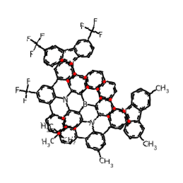 Cc1cc(-c2ccccc2)c(N2c3cc(-n4c5ccc(C)cc5c5cc(C)ccc54)cc(-c4ccccc4)c3B3c4c(-c5ccccc5)cc(-n5c6ccc(C(F)(F)F)cc6c6cc(C(F)(F)F)ccc65)cc4N(c4c(-c5ccccc5)cc(C(F)(F)F)cc4-c4ccccc4)c4cc(C(C)(C)C)cc2c43)c(-c2ccccc2)c1